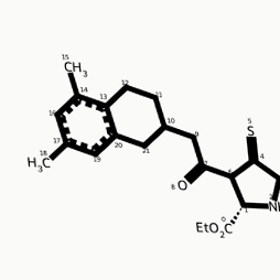 CCOC(=O)[C@H]1NCC(=S)C1C(=O)CC1CCc2c(C)cc(C)cc2C1